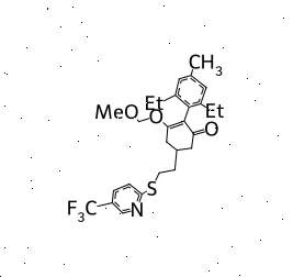 CCc1cc(C)cc(CC)c1C1=C(OCOC)CC(CCSc2ccc(C(F)(F)F)cn2)CC1=O